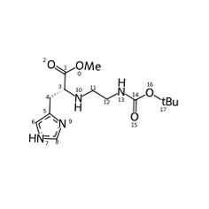 COC(=O)[C@@H](Cc1c[nH]cn1)NCCNC(=O)OC(C)(C)C